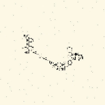 CCn1nccc1C(=O)N[C@H](C(=O)Nc1ccc(C[C@@H](NC(C)=O)C(=O)N2CCN(C(=O)COCCOCCOCCOC[C@H]3OC[C@H](Nc4cncc(C(F)(F)F)n4)[C@@H](O)[C@H]3O)CC2)cc1)C1CCCCCC1